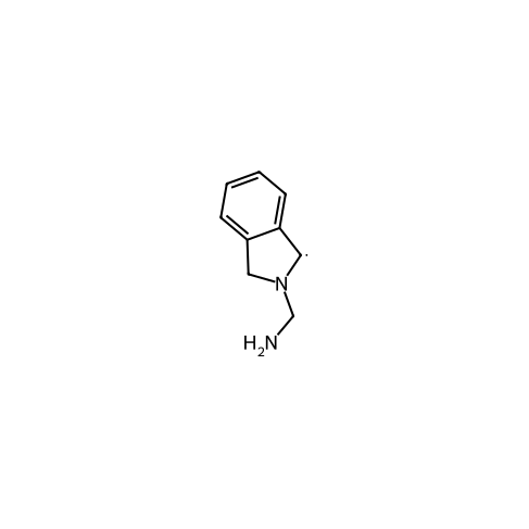 NCN1[CH]c2ccccc2C1